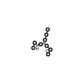 c1ccc(-c2ccc(-c3ccc(N(c4ccc(Nc5ccccc5-c5ccccc5)cc4)c4ccc(-c5cccc6c5oc5ccccc56)cc4)cc3)cc2)cc1